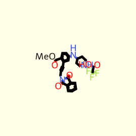 COC(=O)c1ccc(NC2CCNCC2)cc1C#CCN1C(=O)c2ccccc2C1=O.O=C(O)C(F)(F)F